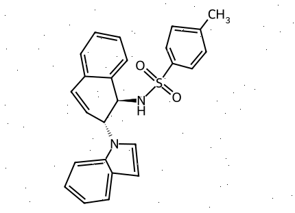 Cc1ccc(S(=O)(=O)N[C@@H]2c3ccccc3C=C[C@H]2n2ccc3ccccc32)cc1